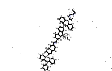 C/C=C\C=C/C(C)N1c2ccccc2N(c2ccc3c(c2)C(C)(C)c2cc(/C=C/c4ccc5cc(N6c7ccccc7N(c7ccccc7)c7ccccc76)ccc5c4)ccc2-3)c2ccccc21